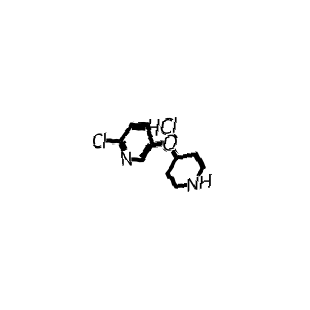 Cl.Clc1ccc(OC2CCNCC2)cn1